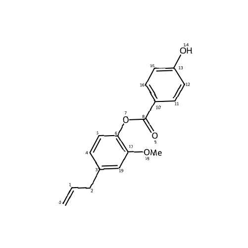 C=CCc1ccc(OC(=O)c2ccc(O)cc2)c(OC)c1